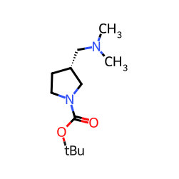 CN(C)C[C@H]1CCN(C(=O)OC(C)(C)C)C1